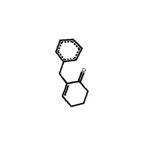 O=C1CCCC=C1Cc1ccccc1